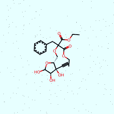 C#C[C@@]1(O)[C@@H](COC(Cc2ccccc2)(C(=O)OCC)C(=O)OCC)OC(O)[C@@H]1O